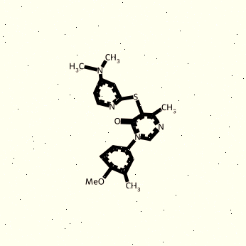 COc1ccc(-n2cnc(C)c(Sc3cc(N(C)C)ccn3)c2=O)cc1C